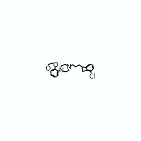 Clc1cccc2c1CC2CCCN1CCN(c2cccc3c2OCCO3)CC1